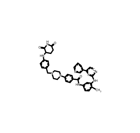 Cc1ccc(NC(=O)c2ccc(N3CCN(Cc4ccc(NC5CCC(=O)NC5=O)cc4)CC3)cc2)cc1Nc1nccc(-c2cccnc2)n1